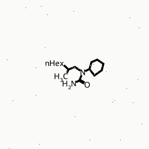 CCCCCCC(C)CN(C(N)=O)C1CCCCC1